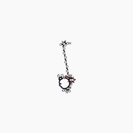 COc1cc2cc(c1Cl)N(C)C(=O)C[C@@](OC(=O)[C@H](C)N(C)C(C)=O)(C(N)C(=O)NCCOCCOCCOCCOCCOCCOCCC(=O)N(C)C(C)C(=O)O)[C@]1(C)O[C@H]1[C@H](C)[C@@H]1C[C@@](O)(NC(=O)O1)C(OC)/C=C/C=C(\C)C2